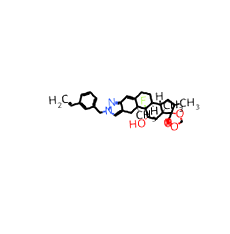 C=Cc1cccc(Cn2cc3c(n2)C=C2CC[C@H]4[C@@H]5C[C@@H](C)[C@@]6(OCOC67COCO7)[C@@]5(C)C[C@H](O)[C@]4(F)[C@@]2(C)C3)c1